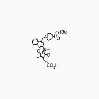 CC1=C(CCC(=O)O)C(=O)N(Nc2cc(CN3CCN(C(=O)OC(C)(C)C)CC3)c3ccccc3n2)C1=O